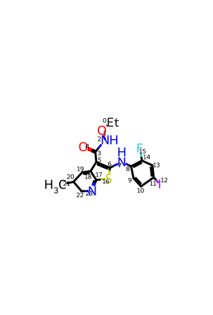 CCONC(=O)c1c(Nc2ccc(I)cc2F)sc2c1=CC(C)CN=2